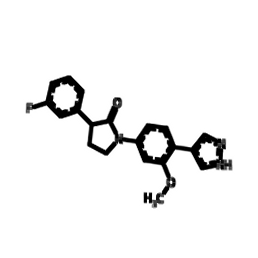 COc1cc(N2CCC(c3cccc(F)c3)C2=O)ccc1-c1cn[nH]c1